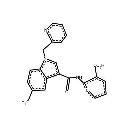 Cc1ccc2c(c1)c(C(=O)Nc1ccccc1C(=O)O)cn2Cc1ccccn1